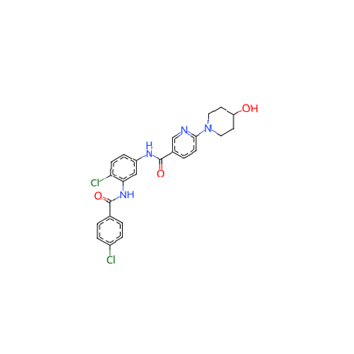 O=C(Nc1ccc(Cl)c(NC(=O)c2ccc(Cl)cc2)c1)c1ccc(N2CCC(O)CC2)nc1